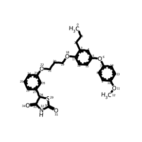 CCCc1cc(Oc2ccc(OC)cc2)ccc1OCCCOc1cccc(C2SC(=O)NC2=O)c1